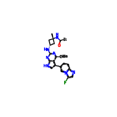 CCC(=O)N[C@]1(C)C[C@H](Nc2nc(OC)c3c(-c4ccc5ncc(F)n5c4)c[nH]c3n2)C1